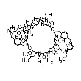 CCOc1ccn(Cc2ccc(C[C@H]3OC(=O)[C@H](CC(C)C)N(C)C(=O)[C@@H](C)OC(=O)[C@H](CC(C)C)N(C)C(=O)[C@@H](Cc4ccc(Cn5nccc5OCC)cc4)OC(=O)[C@H](CC(C)C)N(C)C(=O)[C@@H](C)OC(=O)[C@H](CC(C)C)N(C)C3=O)cc2)n1